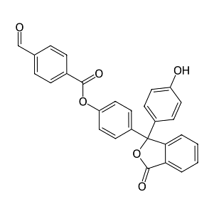 O=Cc1ccc(C(=O)Oc2ccc(C3(c4ccc(O)cc4)OC(=O)c4ccccc43)cc2)cc1